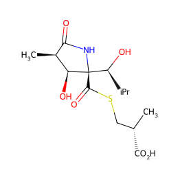 CC(C)[C@H](O)[C@@]1(C(=O)SC[C@H](C)C(=O)O)NC(=O)[C@H](C)[C@@H]1O